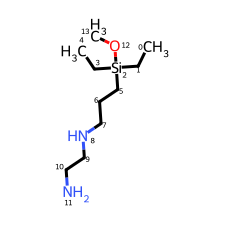 CC[Si](CC)(CCCNCCN)OC